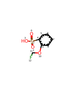 O=S(=O)(O)c1ccccc1OCF